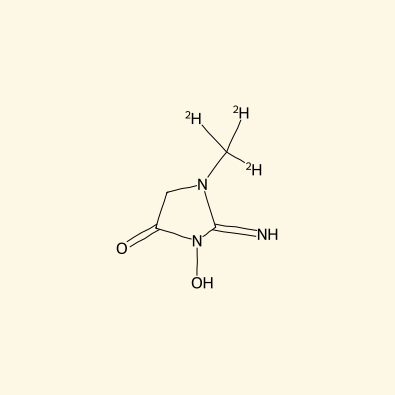 [2H]C([2H])([2H])N1CC(=O)N(O)C1=N